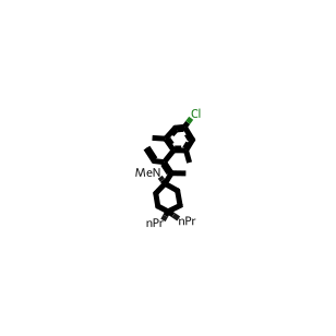 C=C/C(=C(/C)C1(NC)CCC(CCC)(CCC)CC1)c1c(C)cc(Cl)cc1C